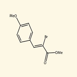 COC(=O)/C(Br)=C/c1ccc(OC)cc1